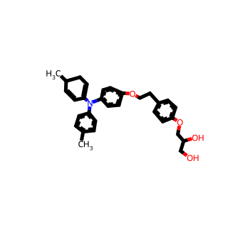 Cc1ccc(N(C2=CCC(C)C=C2)c2ccc(OCCc3ccc(OCC(O)CO)cc3)cc2)cc1